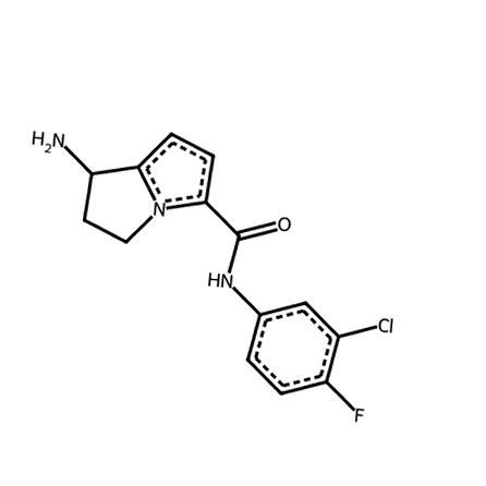 NC1CCn2c(C(=O)Nc3ccc(F)c(Cl)c3)ccc21